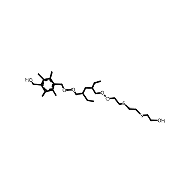 CCC(COOCCSCCSCCO)CC(CC)COOCc1c(C)c(C)c(CO)c(C)c1C